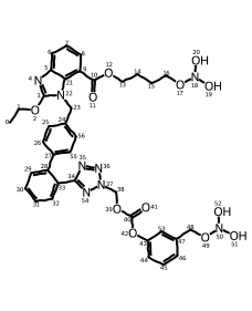 CCOc1nc2cccc(C(=O)OCCCCON(O)O)c2n1Cc1ccc(-c2ccccc2-c2nnn(COC(=O)Oc3cccc(CON(O)O)c3)n2)cc1